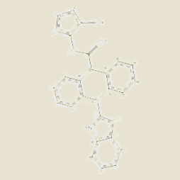 O=C(Oc1sccc1Cl)C1c2ccccc2N(c2nc3ccccc3s2)c2ccccc21